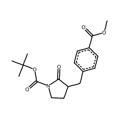 COC(=O)c1ccc(CC2CCN(C(=O)OC(C)(C)C)C2=O)cc1